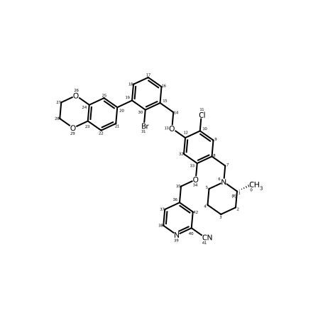 C[C@@H]1CCCCN1Cc1cc(Cl)c(OCc2cccc(-c3ccc4c(c3)OCCO4)c2Br)cc1OCc1ccnc(C#N)c1